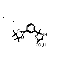 CC1(c2cccc(B3OC(C)(C)C(C)(C)O3)c2)NC=C(C(=O)O)S1